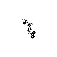 CCc1cc(N2C[C@@H](C)N(C(=O)OCC3c4ccccc4-c4ccccc43)[C@@H](C)C2)ccc1Nc1ncc(C(F)(F)F)[c]([Sn]([CH3])([CH3])[CH3])n1